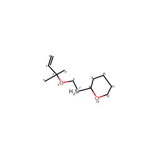 C=CC(C)(C)OC[SiH2]C1CCCCO1